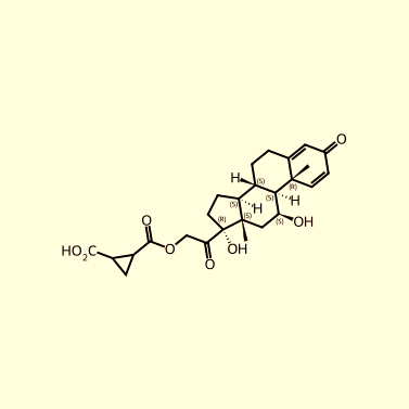 C[C@]12C=CC(=O)C=C1CC[C@@H]1[C@@H]2[C@@H](O)C[C@@]2(C)[C@H]1CC[C@]2(O)C(=O)COC(=O)C1CC1C(=O)O